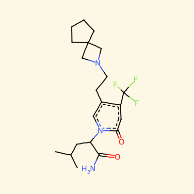 CC(C)CC(C(N)=O)n1cc(CCN2CC3(CCCC3)C2)c(C(F)(F)F)cc1=O